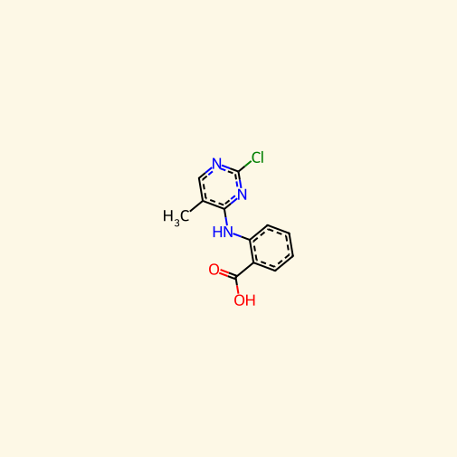 Cc1cnc(Cl)nc1Nc1ccccc1C(=O)O